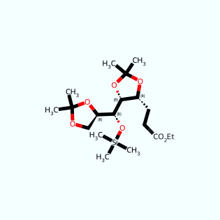 CCOC(=O)CC[C@H]1OC(C)(C)O[C@H]1[C@H](O[Si](C)(C)C)[C@H]1COC(C)(C)O1